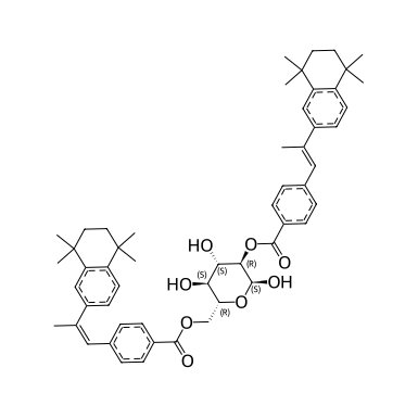 CC(=Cc1ccc(C(=O)OC[C@H]2O[C@H](O)[C@H](OC(=O)c3ccc(C=C(C)c4ccc5c(c4)C(C)(C)CCC5(C)C)cc3)[C@@H](O)[C@@H]2O)cc1)c1ccc2c(c1)C(C)(C)CCC2(C)C